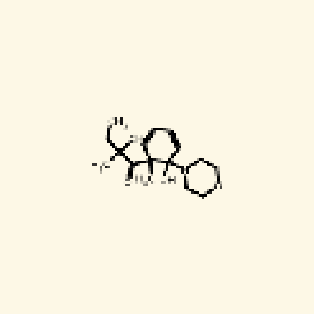 CCC(C)(C)C(=O)C1(C)C=CC=CC1(O)N1CCOCC1